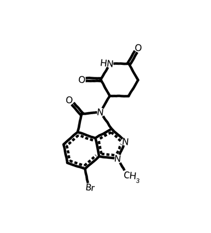 Cn1nc2c3c(ccc(Br)c31)C(=O)N2C1CCC(=O)NC1=O